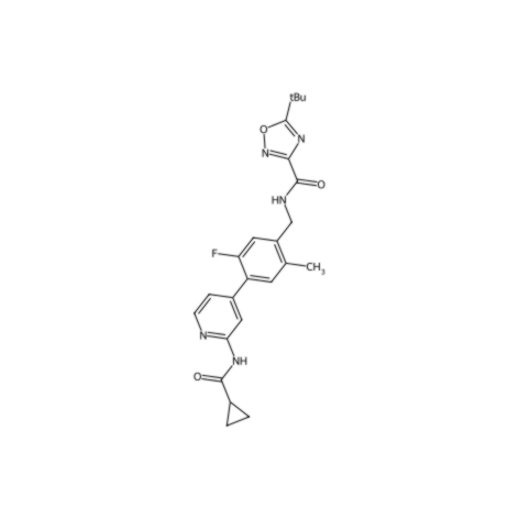 Cc1cc(-c2ccnc(NC(=O)C3CC3)c2)c(F)cc1CNC(=O)c1noc(C(C)(C)C)n1